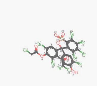 O=C(CCl)Oc1c(Br)cc(C2(c3cc(Br)c(O)c(Br)c3)OS(=O)(=O)c3c(Br)c(Br)c(Br)c(Br)c32)c(C(=O)CCl)c1Br